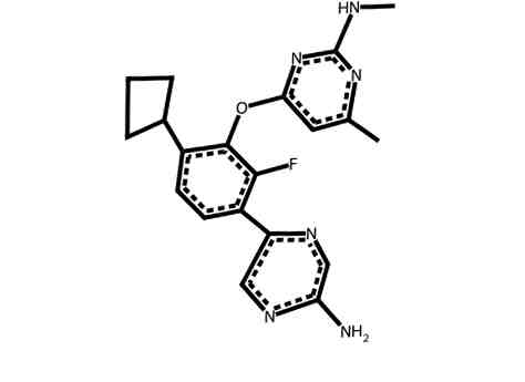 CNc1nc(C)cc(Oc2c(C3CCC3)ccc(-c3cnc(N)cn3)c2F)n1